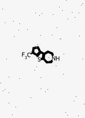 FC(F)(F)[C@H]1CCc2c1sc1c2CCNCC1